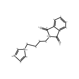 O=C1c2ccccc2C(=O)N1CCCCn1ccnc1